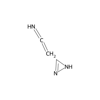 C1=NN1.C=C=N